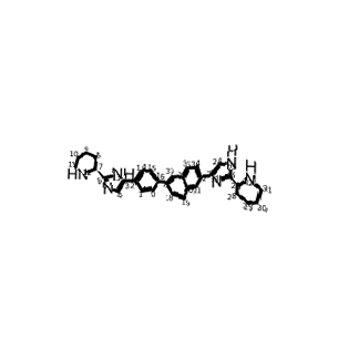 c1cc(-c2cnc([C@@H]3CCCCN3)[nH]2)ccc1-c1ccc2cc(-c3c[nH]c([C@@H]4CCCCN4)n3)ccc2c1